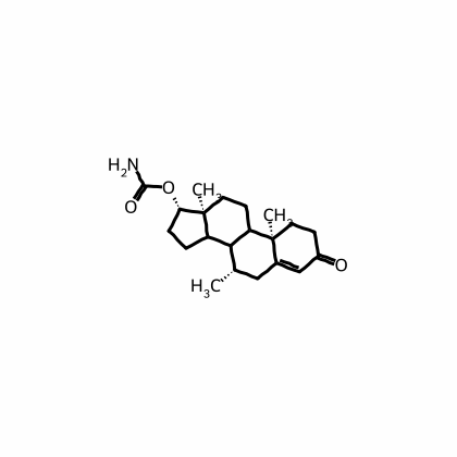 C[C@H]1CC2=CC(=O)CC[C@]2(C)C2CC[C@@]3(C)C(CC[C@@H]3OC(N)=O)C21